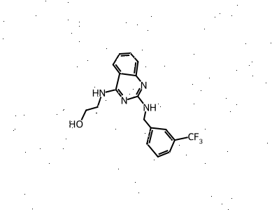 OCCNc1nc(NCc2cccc(C(F)(F)F)c2)nc2ccccc12